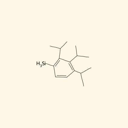 CC(C)c1ccc([SiH3])c(C(C)C)c1C(C)C